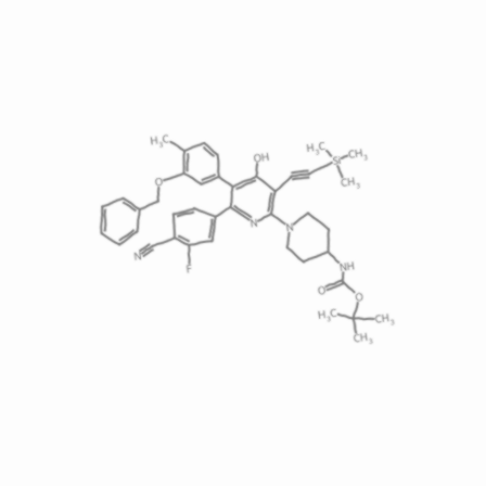 Cc1ccc(-c2c(-c3ccc(C#N)c(F)c3)nc(N3CCC(NC(=O)OC(C)(C)C)CC3)c(C#C[Si](C)(C)C)c2O)cc1OCc1ccccc1